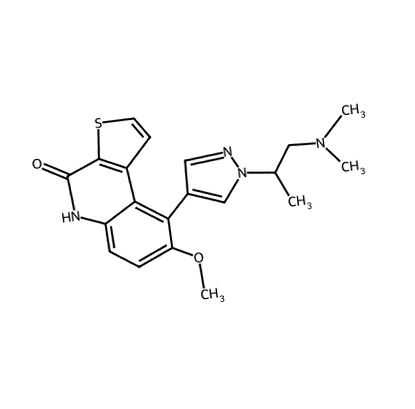 COc1ccc2[nH]c(=O)c3sccc3c2c1-c1cnn(C(C)CN(C)C)c1